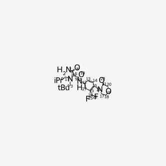 CC(C)CN(CC(C)(C)C)[C@H](C(N)=O)C(=O)Nc1ccc(N2CCOCC2=O)c(C(F)F)c1